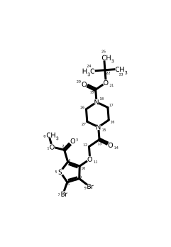 COC(=O)c1sc(Br)c(Br)c1OCC(=O)N1CCN(C(=O)OC(C)(C)C)CC1